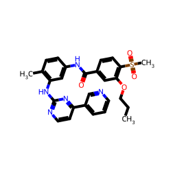 CCCOc1cc(C(=O)Nc2ccc(C)c(Nc3nccc(-c4cccnc4)n3)c2)ccc1S(C)(=O)=O